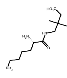 CC(C)(CNC(=O)[C@@H](N)CCCCN)CC(=O)O